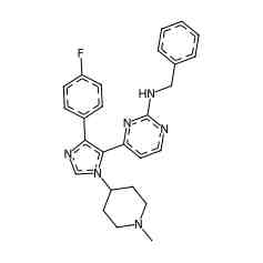 CN1CCC(n2cnc(-c3ccc(F)cc3)c2-c2ccnc(NCc3ccccc3)n2)CC1